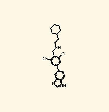 Clc1cc(-c2ccc3[nH]cnc3c2)cc(Cl)c1CNCCC1CCCCC1